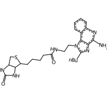 CCCCc1nc2c(N)nc3ccccc3c2n1CCNC(=O)CCCCC1SCC2NC(=O)NC21